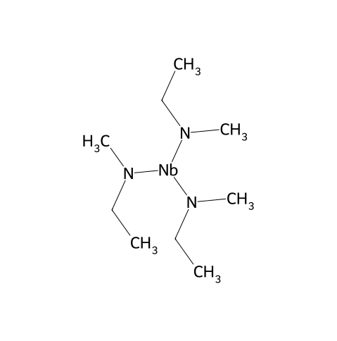 CC[N](C)[Nb]([N](C)CC)[N](C)CC